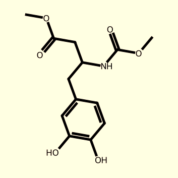 COC(=O)CC(Cc1ccc(O)c(O)c1)NC(=O)OC